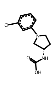 O=C(O)N[C@H]1CCN(c2cccc(Cl)c2)C1